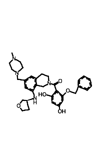 CN1CCN(Cc2cc3c(c(N[C@H]4CCOC4)c2)CN(C(=O)c2c(O)cc(O)cc2OCc2ccccc2)CC3)CC1